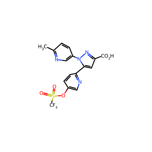 Cc1ccc(-n2nc(C(=O)O)cc2-c2ccc(OS(=O)(=O)C(F)(F)F)cn2)cn1